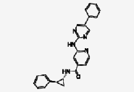 O=C(N[C@@H]1C[C@H]1c1ccccc1)c1ccnc(Nc2ncc(-c3ccccc3)cn2)c1